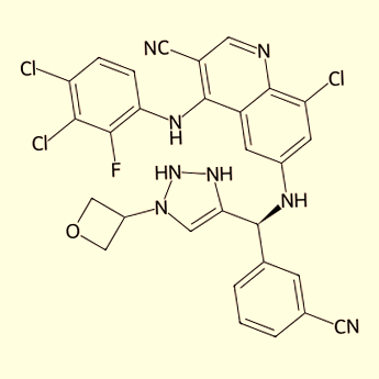 N#Cc1cccc([C@H](Nc2cc(Cl)c3ncc(C#N)c(Nc4ccc(Cl)c(Cl)c4F)c3c2)C2=CN(C3COC3)NN2)c1